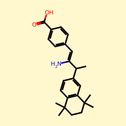 CC(/C(N)=C/c1ccc(C(=O)O)cc1)c1ccc2c(c1)C(C)(C)CCC2(C)C